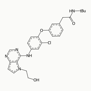 CC(C)(C)NC(=O)Cc1cccc(Oc2ccc(Nc3ncnc4ccn(CCO)c34)cc2Cl)c1